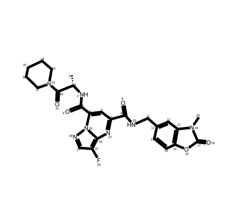 C[C@H](NC(=O)c1cc(C(=O)NCc2ccc3oc(=O)n(C)c3c2)nc2c(F)cnn12)C(=O)N1CCCCC1